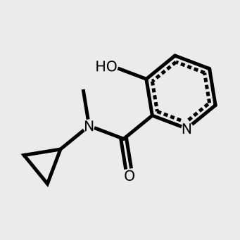 CN(C(=O)c1ncccc1O)C1CC1